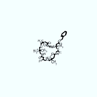 CCC(COCC(C)(C)CC(=O)NCC(CC)OCC(C)(C)CC(=O)OCc1ccccc1)CC(=O)NCC(C)(C)COCC(C)(C)CC(=O)OC(C)(C)C